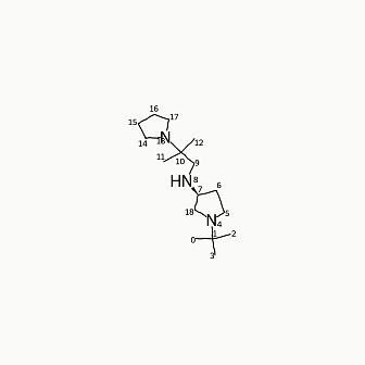 CC(C)(C)N1CC[C@H](NCC(C)(C)N2CCCC2)C1